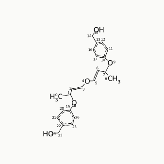 CC(/C=C/O/C=C/C(C)Oc1ccc(CO)cc1)Oc1ccc(CO)cc1